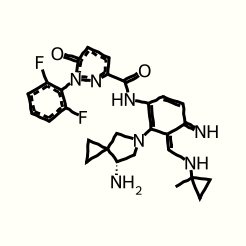 CC1(N/C=C2\C(=N)C=CC(NC(=O)c3ccc(=O)n(-c4c(F)cccc4F)n3)=C2N2C[C@H](N)C3(CC3)C2)CC1